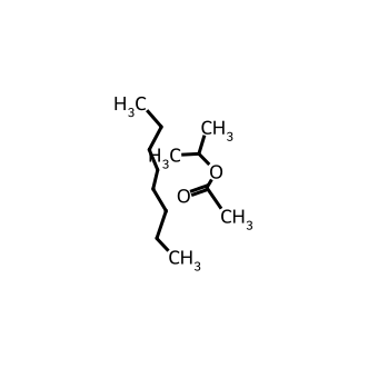 CC(=O)OC(C)C.CCCCCCCC